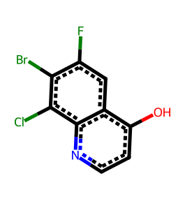 Oc1ccnc2c(Cl)c(Br)c(F)cc12